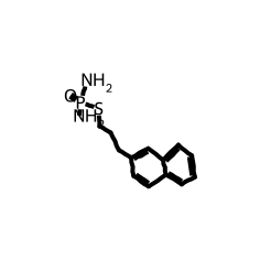 NP(N)(=O)SCCCc1ccc2ccccc2c1